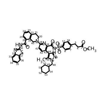 COC(=O)CCc1ccc(S(=O)(=O)NC(=O)c2nc(N3CCc4cccc(C(=O)Nc5nc6ccccc6s5)c4C3)ccc2-c2cnn(CC3CCCCC3)c2C)cc1